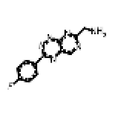 NCc1ncc2nc(-c3ccc(F)cc3)nnc2n1